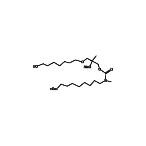 CCCCCCCCCCCCCCCCCCN(C)C(=O)OCC(C)(COCCCCCCCO)OC